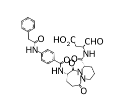 O=C[C@H](CC(=O)O)NC(=O)[C@@H]1CCCN2C(=O)CC[C@H](NC(=O)c3ccc(NC(=O)Cc4ccccc4)cc3)C(=O)N12